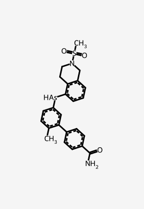 Cc1ccc([AsH]c2cccc3c2CCN(S(C)(=O)=O)C3)cc1-c1ccc(C(N)=O)cc1